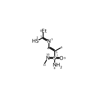 CC/C(S)=N/C=C(\C)S(N)(=O)=NC